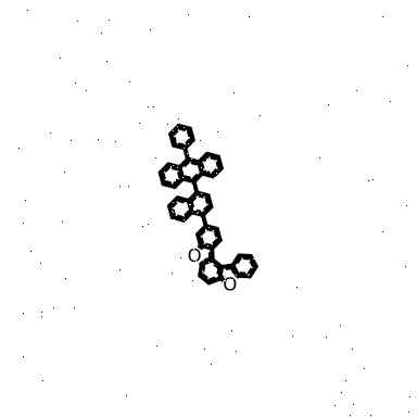 c1ccc(-c2c3ccccc3c(-c3ccc(-c4ccc5c(c4)oc4ccc6oc7ccccc7c6c45)c4ccccc34)c3ccccc23)cc1